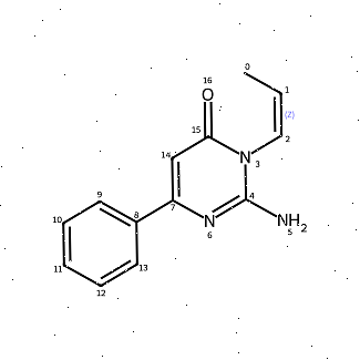 C/C=C\n1c(N)nc(-c2ccccc2)cc1=O